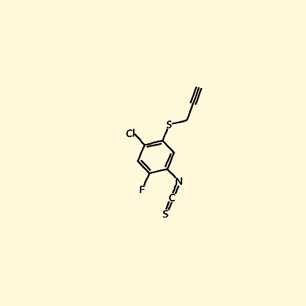 C#CCSc1cc(N=C=S)c(F)cc1Cl